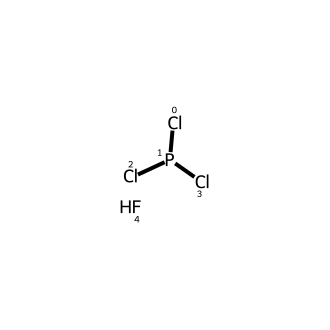 ClP(Cl)Cl.F